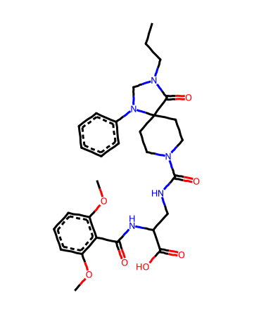 CCCN1CN(c2ccccc2)C2(CCN(C(=O)NCC(NC(=O)c3c(OC)cccc3OC)C(=O)O)CC2)C1=O